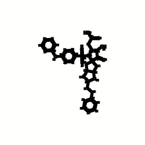 O=C(O)CCN(C1(C(=O)NO)CC2OC(CCc3ccccc3)OC2C1)S(=O)(=O)c1ccc(Oc2ccccc2)cc1